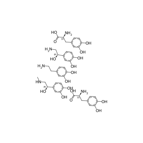 CNC[C@H](O)c1ccc(O)c(O)c1.NCCc1ccc(O)c(O)c1.NC[C@H](O)c1ccc(O)c(O)c1.N[C@@H](Cc1ccc(O)c(O)c1)C(=O)O.N[C@@H](Cc1ccc(O)c(O)c1)C(=O)O